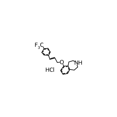 Cl.FC(F)(F)c1ccc(/C=C/COc2cccc3c2CCNCC3)cc1